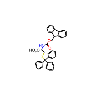 O=C(N[C@H](CSC(c1ccccc1)(c1ccccc1)c1ccccc1)C(=O)O)OCC1c2ccccc2-c2ccccc21